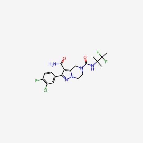 CC(F)(F)C(C)(C)NC(=O)N1CCn2nc(-c3ccc(F)c(Cl)c3)c(C(N)=O)c2C1